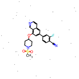 CS(=O)(=O)N1CCC(Oc2cc(-c3ccc(C#N)c(F)c3)cc3ccncc23)CC1